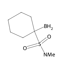 BC1(S(=O)(=O)NC)CCCCC1